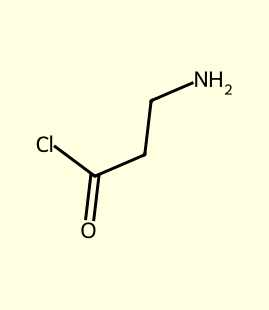 NCCC(=O)Cl